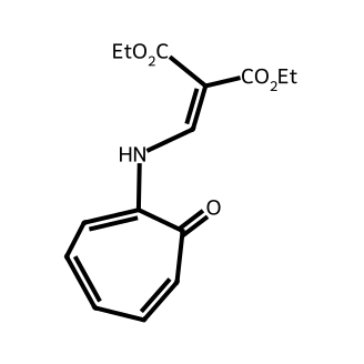 CCOC(=O)C(=CNc1cccccc1=O)C(=O)OCC